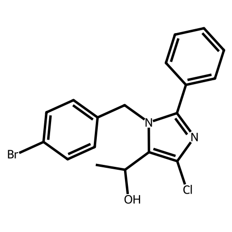 CC(O)c1c(Cl)nc(-c2ccccc2)n1Cc1ccc(Br)cc1